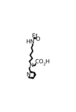 CCC(=O)NCCCCCCN(CC(=O)O)Cc1ccccn1